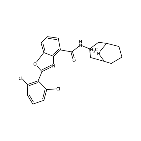 CN1C2CCCC1CC(NC(=O)c1cccc3oc(-c4c(Cl)cccc4Cl)nc13)C2